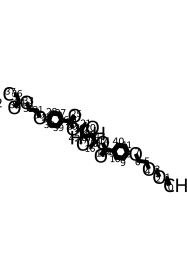 C=COCOCCOc1ccc(C(=O)O[C@H]2CO[C@@H]3[C@H]2OC[C@@H]3OC(=O)c2ccc(OCCOC(=O)C=C)cc2)cc1